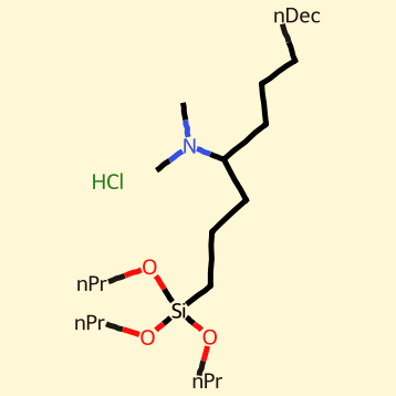 CCCCCCCCCCCCCC(CCC[Si](OCCC)(OCCC)OCCC)N(C)C.Cl